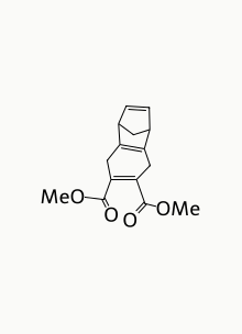 COC(=O)C1=C(C(=O)OC)CC2=C(C1)C1C=CC2C1